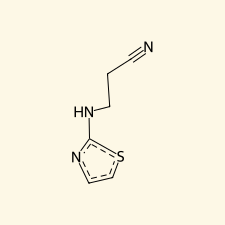 N#CCCNc1nccs1